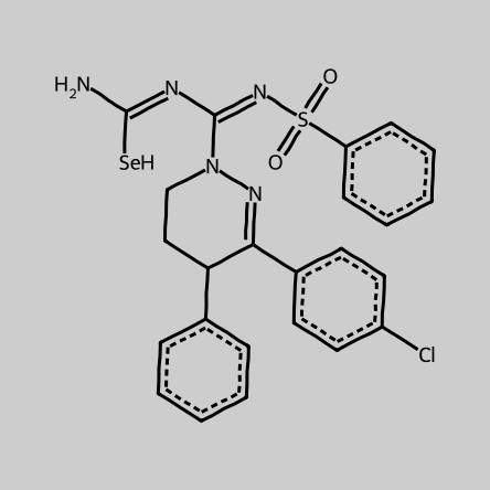 N/C([SeH])=N/C(=N/S(=O)(=O)c1ccccc1)N1CCC(c2ccccc2)C(c2ccc(Cl)cc2)=N1